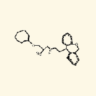 OC(CNCCC1c2ccccc2COc2ccccc21)COC1CCCCCC1